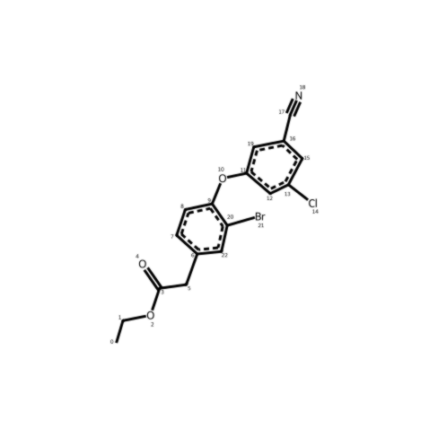 CCOC(=O)Cc1ccc(Oc2cc(Cl)cc(C#N)c2)c(Br)c1